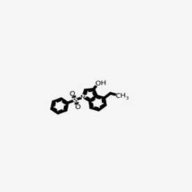 CCc1cccc2c1c(O)cn2S(=O)(=O)c1ccccc1